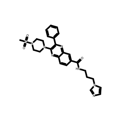 CS(=O)(=O)N1CCN(c2nc3ccc(C(=O)NCCCn4ccnc4)cc3nc2-c2ccccc2)CC1